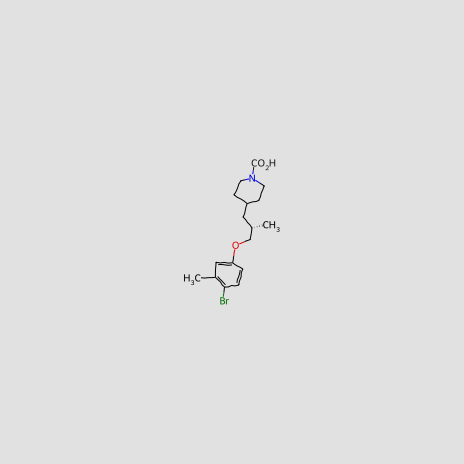 Cc1cc(OC[C@@H](C)CC2CCN(C(=O)O)CC2)ccc1Br